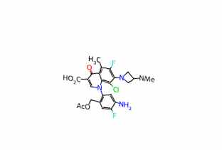 CNC1CN(c2c(F)c(C)c3c(=O)c(C(=O)O)cn(-c4cc(N)c(F)cc4COC(C)=O)c3c2Cl)C1